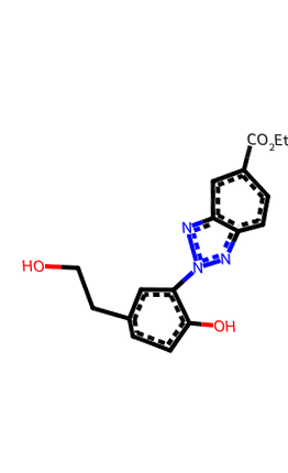 CCOC(=O)c1ccc2nn(-c3cc(CCO)ccc3O)nc2c1